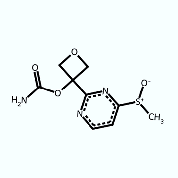 C[S+]([O-])c1ccnc(C2(OC(N)=O)COC2)n1